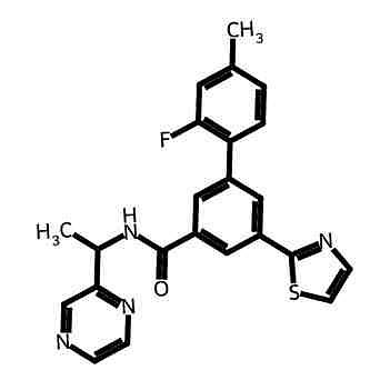 Cc1ccc(-c2cc(C(=O)NC(C)c3cnccn3)cc(-c3nccs3)c2)c(F)c1